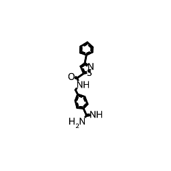 N=C(N)c1ccc(CNC(=O)c2cc(-c3ccccc3)ns2)cc1